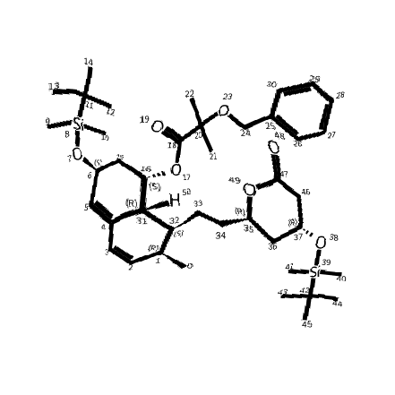 C[C@H]1C=CC2=C[C@@H](O[Si](C)(C)C(C)(C)C)C[C@H](OC(=O)C(C)(C)OCc3ccccc3)[C@@H]2[C@H]1CC[C@@H]1C[C@@H](O[Si](C)(C)C(C)(C)C)CC(=O)O1